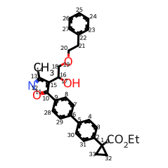 CCOC(=O)C1(c2ccc(-c3ccc(-c4onc(C)c4C(O)COCCc4ccccc4)cc3)cc2)CC1